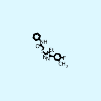 CCn1c(SCC(=O)Nc2ccccc2)nnc1C1C=C(C)C(F)=CC1